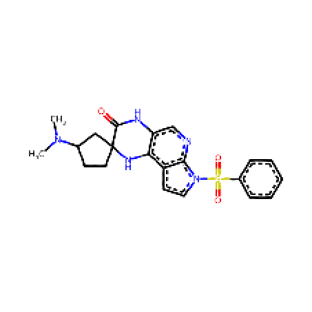 CN(C)C1CCC2(C1)Nc1c(cnc3c1ccn3S(=O)(=O)c1ccccc1)NC2=O